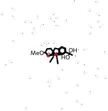 COC1CCC2(CC1)Cc1ccc(C(C)(O)O)cc1C21N=C(C)N(C)C1=O